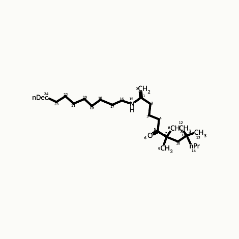 C=C(CCCC(=O)C(C)(C)CC(C)(C)CCC)NCCCCCCCCCCCCCCCCCC